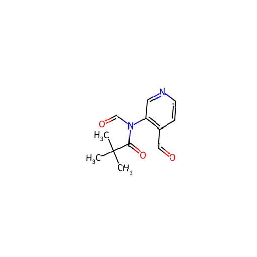 CC(C)(C)C(=O)N(C=O)c1cnccc1C=O